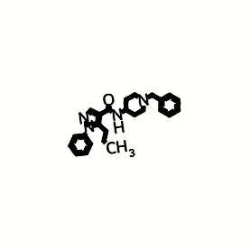 CCCc1c(C(=O)NC2CCN(Cc3ccccc3)CC2)cnn1-c1ccccc1